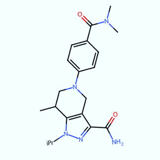 CC1CN(c2ccc(C(=O)N(C)C)cc2)Cc2c(C(N)=O)nn(C(C)C)c21